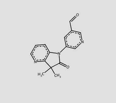 CC1(C)C(=O)N(c2cncc(C=O)c2)c2cccnc21